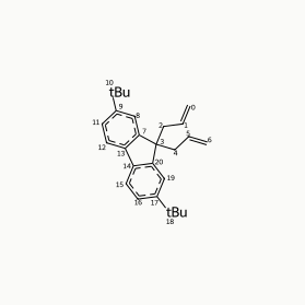 C=CCC1(CC=C)c2cc(C(C)(C)C)ccc2-c2ccc(C(C)(C)C)cc21